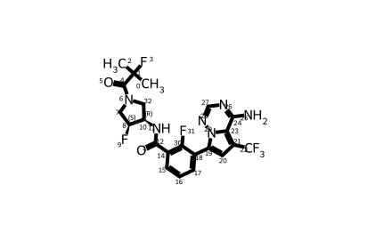 CC(C)(F)C(=O)N1C[C@H](F)[C@H](NC(=O)c2cccc(-c3cc(C(F)(F)F)c4c(N)ncnn34)c2F)C1